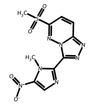 Cn1c([N+](=O)[O-])cnc1-c1nnc2ccc(S(C)(=O)=O)nn12